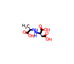 C[C@H](NN[C@@H](CC(=O)O)C(=O)O)C(=O)O